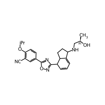 CC(C)Oc1ccc(-c2nc(C3C=CC=C4C(NC[C@@H](C)O)CCC43)no2)cc1C#N